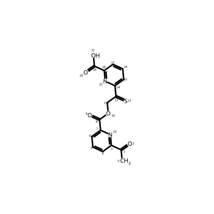 CC(=O)c1cccc(C(=O)OCC(=S)c2cccc(C(=O)O)n2)n1